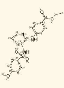 CCOC(=O)c1ccc(Nc2ncccc2NS(=O)(=O)c2ccc(OC)cc2)cc1